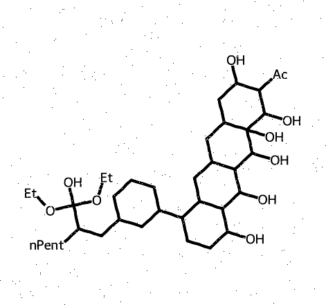 CCCCCC(CC1CCCC(C2CCC(O)C3C(O)C4C(CC23)CC2CC(O)C(C(C)=O)C(O)C2(O)C4O)C1)C(O)(OCC)OCC